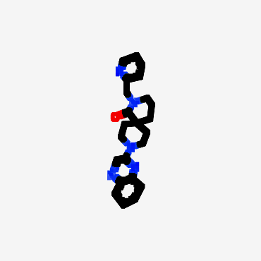 O=C1N(Cc2ccccn2)CCCC12CCN(c1cnc3ccccc3n1)CC2